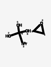 C1CO1.CCCC(O)(O)O